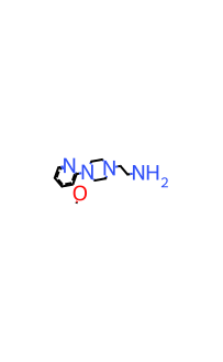 COc1cccnc1N1CCN(CCN)CC1